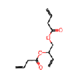 C=CCC(=O)OCC(C=C)OC(=O)CC=C